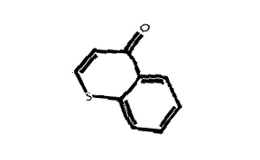 O=c1c[c]sc2ccccc12